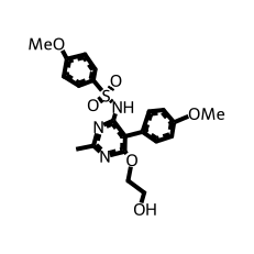 COc1ccc(-c2c(NS(=O)(=O)c3ccc(OC)cc3)nc(C)nc2OCCO)cc1